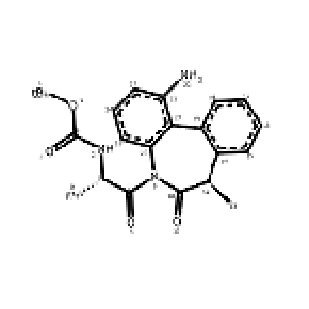 CC(C)[C@H](NC(=O)OC(C)(C)C)C(=O)N1C(=O)[C@H](C)c2ccccc2-c2c(N)cccc21